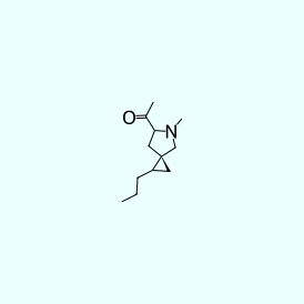 CCCC1C[C@]12CC(C(C)=O)N(C)C2